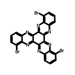 Brc1cccc2nc3c4nc5c(Br)cccc5nc4c4nc5c(Br)cccc5nc4c3nc12